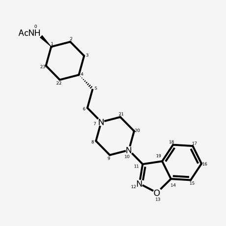 CC(=O)N[C@H]1CC[C@H](CCN2CCN(c3noc4ccccc34)CC2)CC1